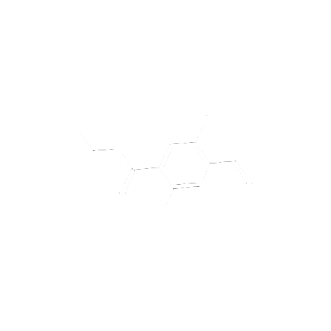 CCOC(=O)c1cc(F)c(C=O)cc1F